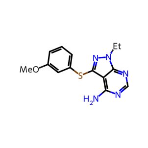 CCn1nc(Sc2cccc(OC)c2)c2c(N)ncnc21